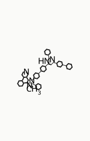 CN1c2c(c3cnccc3c3ccccc23)N(c2ccc(-c3ccc(C4=CC(c5ccc(-c6ccccc6)cc5)=NC(c5ccccc5)N4)cc3)cc2)C1c1ccccc1